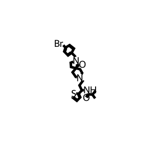 CC(C)C(=O)NC(CCN1CCC2(CC1)CCN(Cc1ccc(Br)cc1)C2=O)c1cccs1